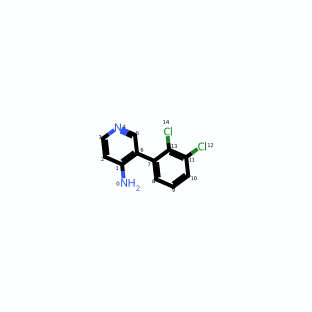 Nc1ccncc1-c1cccc(Cl)c1Cl